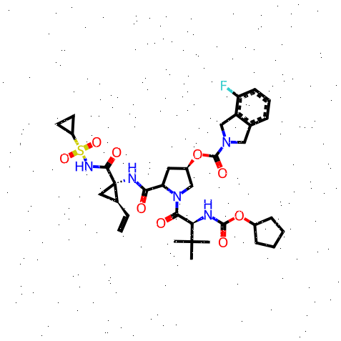 C=C[C@H]1C[C@@]1(NC(=O)C1C[C@@H](OC(=O)N2Cc3cccc(F)c3C2)CN1C(=O)[C@@H](NC(=O)OC1CCCC1)C(C)(C)C)C(=O)NS(=O)(=O)C1CC1